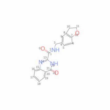 O=C(NCc1ccc2c(c1)CCO2)c1nc2ccccc2c(=O)[nH]1